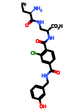 CC(C)C[C@H](N)C(=O)NC[C@H](NC(=O)c1ccc(C(=O)NCc2cccc(O)c2)cc1Cl)C(=O)O